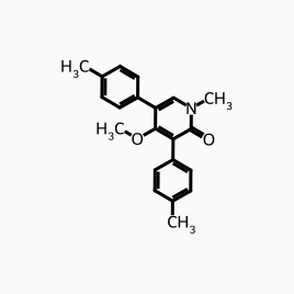 COc1c(-c2ccc(C)cc2)cn(C)c(=O)c1-c1ccc(C)cc1